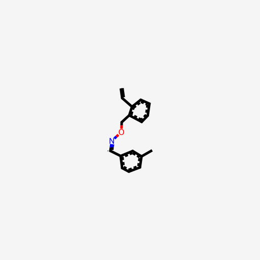 C=Cc1ccccc1CO/N=[C]\c1cccc(C)c1